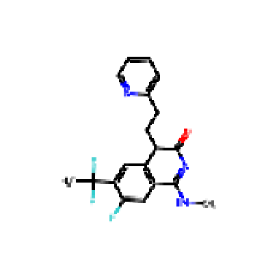 CNC1=NC(=O)C(CCc2ccccn2)c2cc(C(C)(F)F)c(F)cc21